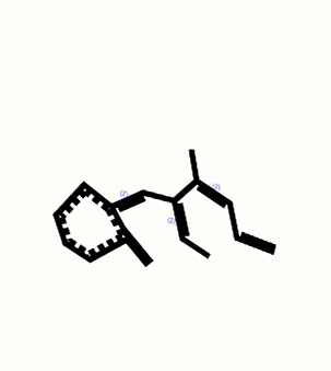 C=C\C=C(C)/C(=C\C)/C=c1/ccccc1=C